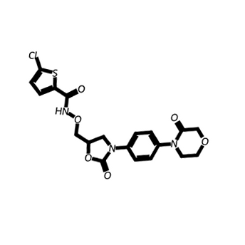 O=C(NOCC1CN(c2ccc(N3CCOCC3=O)cc2)C(=O)O1)c1ccc(Cl)s1